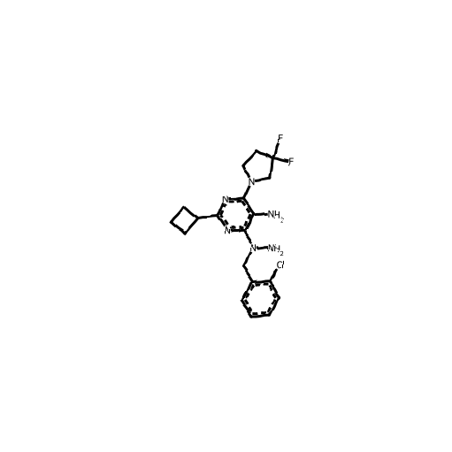 Nc1c(N(N)Cc2ccccc2Cl)nc(C2CCC2)nc1N1CCC(F)(F)C1